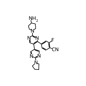 N#Cc1ccc(-c2nc(N3CCC(N)CC3)ncc2-c2cnc(N3CCCC3)nc2)cc1F